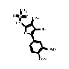 COc1ccc(-c2oc(NS(C)(=O)=O)c(OC(C)=O)c2O)cc1OC